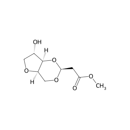 COC(=O)C[C@H]1OC[C@H]2OC[C@H](O)[C@H]2O1